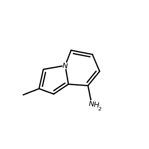 Cc1cc2c(N)cccn2c1